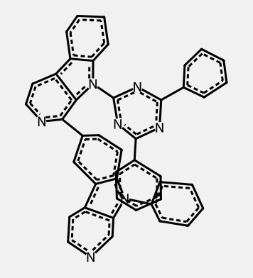 c1ccc(-c2nc(-c3ccccc3)nc(-n3c4ccccc4c4ccnc(-c5ccc6c(c5)c5ccncc5n6-c5ccccc5)c43)n2)cc1